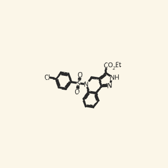 CCOC(=O)c1[nH]nc2c1CN(S(=O)(=O)c1ccc(Cl)cc1)c1ccccc1-2